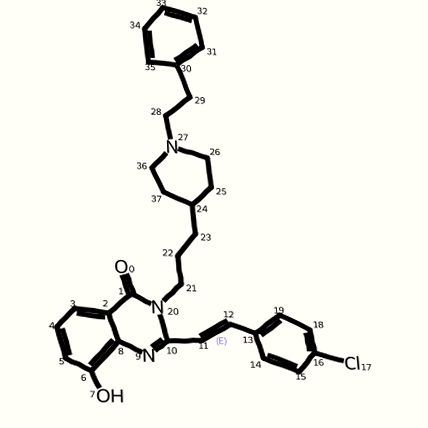 O=c1c2cccc(O)c2nc(/C=C/c2ccc(Cl)cc2)n1CCCC1CCN(CCc2ccccc2)CC1